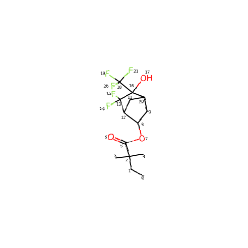 CCC(C)(C)C(=O)OC1CC2CC1C(F)(F)C2(O)C(F)(F)F